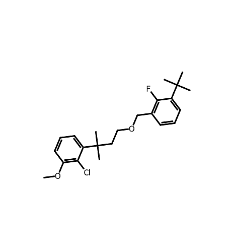 COc1cccc(C(C)(C)CCOCc2cccc(C(C)(C)C)c2F)c1Cl